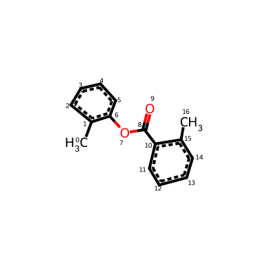 Cc1ccccc1OC(=O)c1ccccc1C